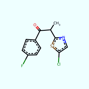 CC(C(=O)c1ccc(F)cc1)c1ncc(Cl)s1